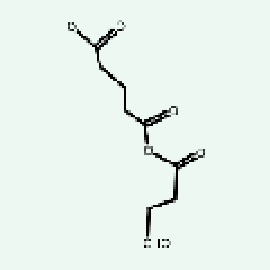 [O]C(=O)CCCC(=O)OC(=O)CC[C]=O